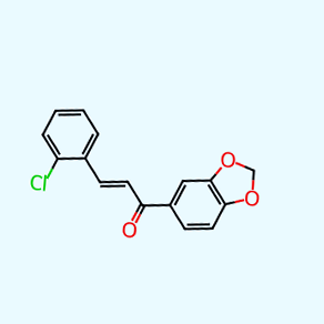 O=C(C=Cc1ccccc1Cl)c1ccc2c(c1)OCO2